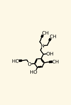 C#CCOc1cc(C(O)CN(CC#C)CC#C)c(C#C)cc1O